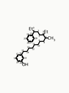 CCC(CCC(CC)C(C)CCCCCCCCc1cccc(O)c1)c1ccccc1